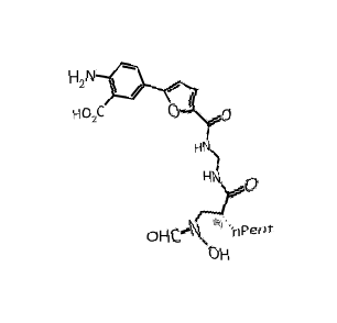 CCCCC[C@H](CN(O)C=O)C(=O)NCNC(=O)c1ccc(-c2ccc(N)c(C(=O)O)c2)o1